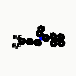 Cc1cc(C)cc(-c2ccc(-c3cccc(-n4c5ccc(-c6ccc7c(c6)C6(c8ccccc8-c8ccccc86)c6ccccc6-7)cc5c5c6ccccc6ccc54)c3)cc2)c1